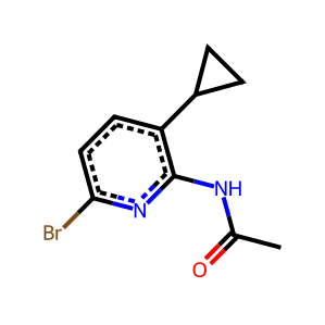 CC(=O)Nc1nc(Br)ccc1C1CC1